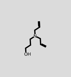 C=CCN(CC=C)CCCO